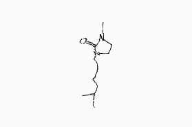 CC(C)CCCCN1CCN(C)C1=O